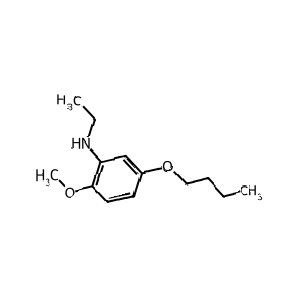 CCCCOc1ccc(OC)c(NCC)c1